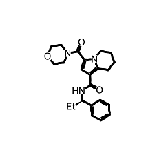 CC[C@@H](NC(=O)c1cc(C(=O)N2CCOCC2)n2c1CCCC2)c1ccccc1